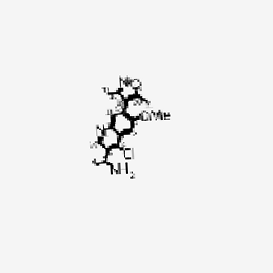 COc1cc2c(Cl)c(C(C)N)cnc2cc1-c1c(C)noc1C